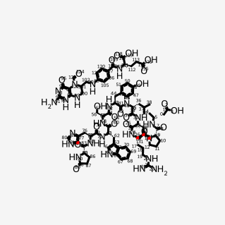 CC(=O)O.CCNC(=O)[C@@H]1CCCN1C(=O)[C@H](CCCNC(=N)N)NC(=O)[C@H](CC(C)C)NC(=O)[C@@H](CC(C)C)NC(=O)[C@H](Cc1ccc(O)cc1)NC(=O)[C@H](CO)NC(=O)[C@H](Cc1c[nH]c2ccccc12)NC(=O)[C@H](Cc1c[nH]cn1)NC(=O)[C@@H]1CCC(=O)N1.Nc1nc(=O)c2c([nH]1)NCC(CNc1ccc(C(=O)N[C@H](CCC(=O)O)C(=O)O)cc1)N2C=O